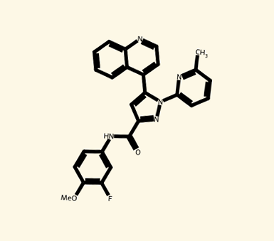 COc1ccc(NC(=O)c2cc(-c3ccnc4ccccc34)n(-c3cccc(C)n3)n2)cc1F